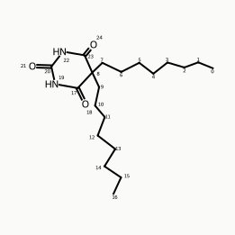 CCCCCCCCC1(CCCCCCCC)C(=O)NC(=O)NC1=O